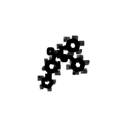 O=C(c1ccc(N2CCCC2)cn1)N(Cc1ccccc1)OCc1ccccc1